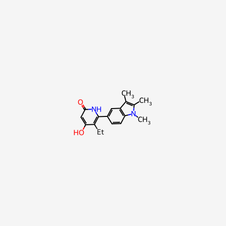 CCc1c(O)cc(=O)[nH]c1-c1ccc2c(c1)c(C)c(C)n2C